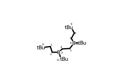 CC(C)(C)CCB(CCB(CCC(C)(C)C)C(C)(C)C)C(C)(C)C